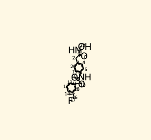 O=C(Cc1ccc(NS(=O)(=O)c2cccc(CF)c2)cc1)NO